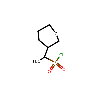 [CH2]C(C1CCCCC1)S(=O)(=O)Cl